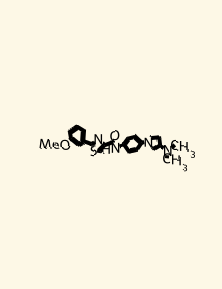 COc1cccc(-c2nc(C(=O)Nc3ccc(N4CCC(N(C)C)C4)cc3)cs2)c1